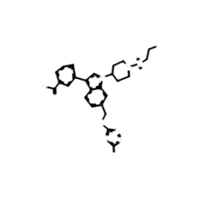 CCCS(=O)(=O)N1CCC(n2cc(-c3cccc(C(N)=S)c3)c3ccc(CNc4nnc(N)s4)cc32)CC1